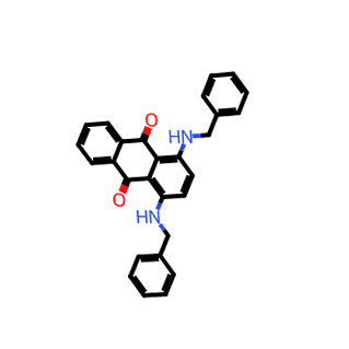 O=C1c2ccccc2C(=O)c2c(NCc3ccccc3)ccc(NCc3ccccc3)c21